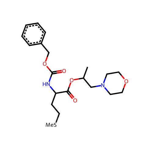 CSCCC(NC(=O)OCc1ccccc1)C(=O)OC(C)CN1CCOCC1